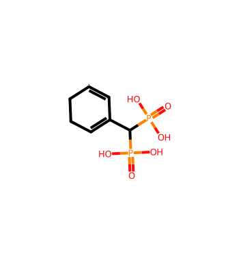 O=P(O)(O)C(C1=CCC[C]=C1)P(=O)(O)O